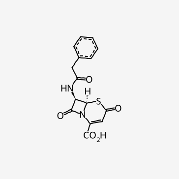 O=C(Cc1ccccc1)N[C@@H]1C(=O)N2C(C(=O)O)=CC(=O)S[C@H]12